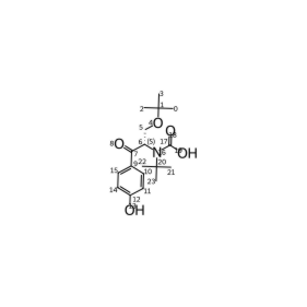 CC(C)(C)OC[C@@H](C(=O)c1ccc(O)cc1)N(C(=O)O)C(C)(C)C